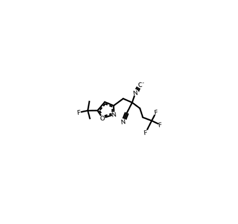 [C-]#[N+]C(C#N)(CCC(F)(F)F)Cc1cc(C(C)(C)F)on1